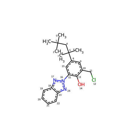 CC(C)(C)CC(C)(C)c1cc(CCl)c(O)c(-n2nc3ccccc3n2)c1